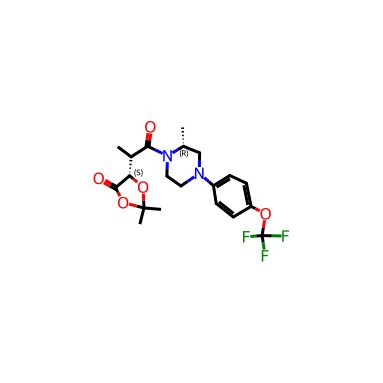 CC(C(=O)N1CCN(c2ccc(OC(F)(F)F)cc2)C[C@H]1C)[C@@H]1OC(C)(C)OC1=O